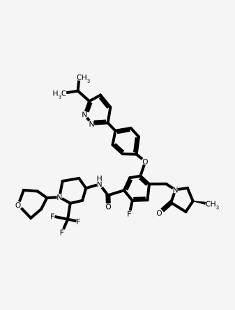 CC(C)c1ccc(-c2ccc(Oc3cc(C(=O)NC4CCN(C5CCOCC5)C(C(F)(F)F)C4)c(F)cc3CN3C[C@@H](C)CC3=O)cc2)nn1